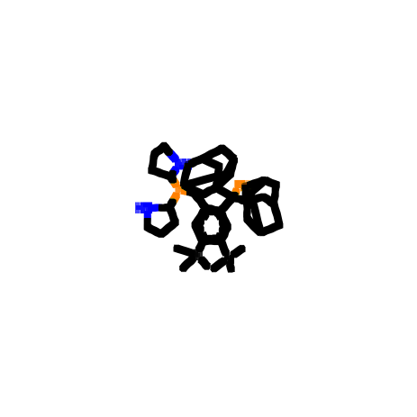 C[Si](C)(C)c1cc(CP(C2CCCN2)C2CCCN2)c(C(P)(C23CC4CC(CC(C4)C2)C3)C23CC4CC(CC(C4)C2)C3)cc1[Si](C)(C)C